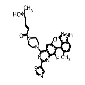 Cc1ccc2[nH]ncc2c1-c1c(Cl)cc2c(N3CCN(C(=O)/C=C/CN(C)O)CC3)nc(-c3cncs3)nc2c1F